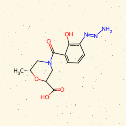 C[C@@H]1CN(C(=O)c2cccc(N=NN)c2O)CC(C(=O)O)O1